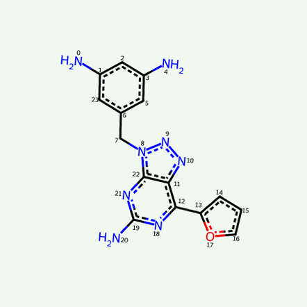 Nc1cc(N)cc(Cn2nnc3c(-c4ccco4)nc(N)nc32)c1